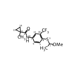 COC(C)Sc1ccc(NC(=O)C2(C)CC2)cc1C(F)(F)F